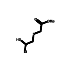 CCC(O)CSCC(=O)OC